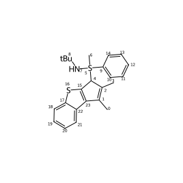 CC1=C(C)C(S(C)(NC(C)(C)C)c2ccccc2)c2sc3ccccc3c21